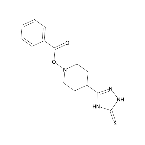 O=C(ON1CCC(c2n[nH]c(=S)[nH]2)CC1)c1ccccc1